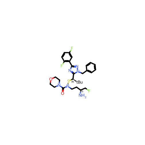 CC(C)(C)[C@@H](SN(CC[C@H](N)CF)C(=O)N1CCOCC1)c1nc(-c2cc(F)ccc2F)nn1Cc1ccccc1